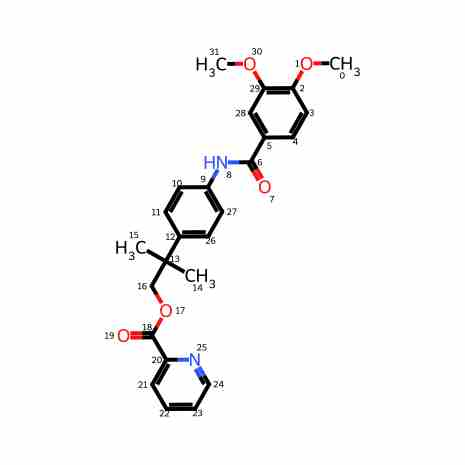 COc1ccc(C(=O)Nc2ccc(C(C)(C)COC(=O)c3ccccn3)cc2)cc1OC